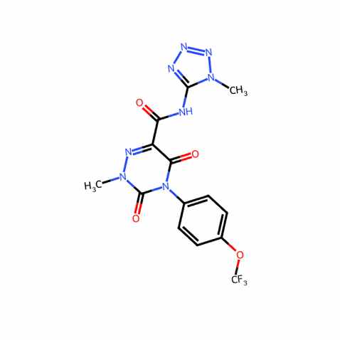 Cn1nnnc1NC(=O)c1nn(C)c(=O)n(-c2ccc(OC(F)(F)F)cc2)c1=O